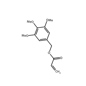 C=CC(=O)OCc1cc(OC)c(OC)c(OC)c1